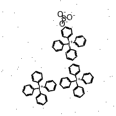 [O-]B([O-])[O-].c1ccc([I+](c2ccccc2)(c2ccccc2)c2ccccc2)cc1.c1ccc([I+](c2ccccc2)(c2ccccc2)c2ccccc2)cc1.c1ccc([I+](c2ccccc2)(c2ccccc2)c2ccccc2)cc1